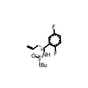 C=CC[C@@H](N[S@@+]([O-])C(C)(C)C)c1cc(F)ccc1F